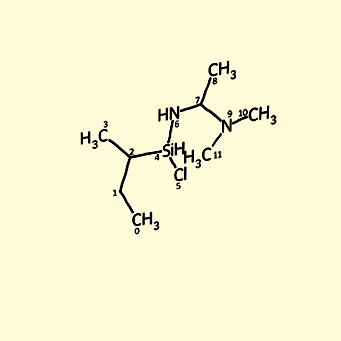 CCC(C)[SiH](Cl)NC(C)N(C)C